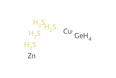 S.S.S.S.[Cu].[GeH4].[Zn]